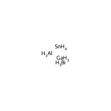 [AlH3].[BiH3].[GaH3].[SnH4]